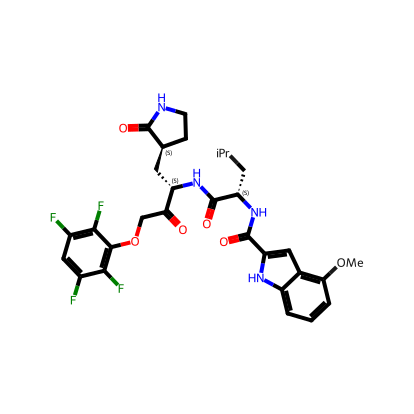 COc1cccc2[nH]c(C(=O)N[C@@H](CC(C)C)C(=O)N[C@@H](C[C@@H]3CCNC3=O)C(=O)COc3c(F)c(F)cc(F)c3F)cc12